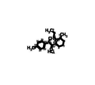 CCCN1C(C)CCC[C@H]1C(=O)N(C)c1ccc(C)cc1.Cl